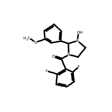 COc1cccc(C2N(O)CCN2C(=O)c2c(F)cccc2F)c1